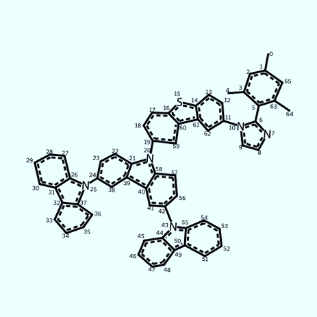 Cc1cc(C)c(-c2nccn2-c2ccc3sc4ccc(-n5c6ccc(-n7c8ccccc8c8ccccc87)cc6c6cc(-n7c8ccccc8c8ccccc87)ccc65)cc4c3c2)c(C)c1